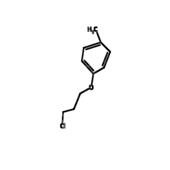 Cc1ccc(OCCCCl)cc1